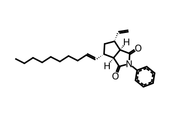 C=C[C@H]1C[C@@H](/C=C/CCCCCCCC)[C@@H]2C(=O)N(c3ccccc3)C(=O)[C@@H]21